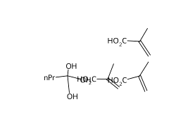 C=C(C)C(=O)O.C=C(C)C(=O)O.C=C(C)C(=O)O.CCCC(O)(O)O